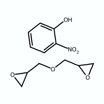 C(OCC1CO1)C1CO1.O=[N+]([O-])c1ccccc1O